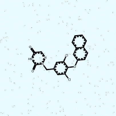 O=c1cnn(Cc2cc(Cl)c(Oc3ccc4ccccc4c3)c(Cl)c2)c(=O)[nH]1